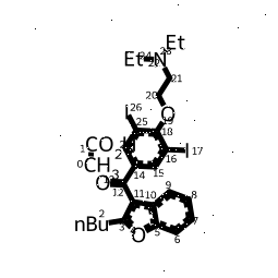 CC(=O)O.CCCCc1oc2ccccc2c1C(=O)c1cc(I)c(OCCN(CC)CC)c(I)c1